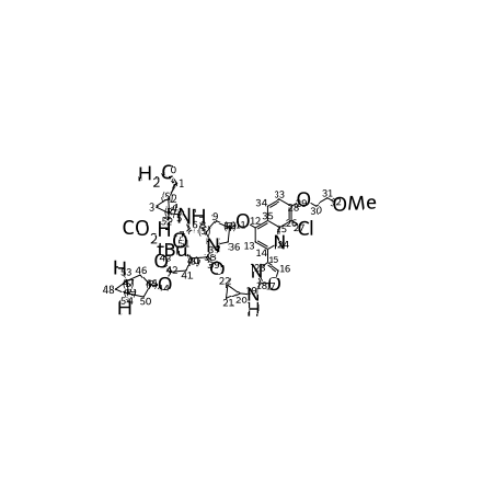 C=C[C@@H]1C[C@]1(NC(=O)[C@@H]1C[C@@H](Oc2cc(-c3coc(NC4CC4)n3)nc3c(Cl)c(OCCOC)ccc23)CN1C(=O)[C@@H](CC(=O)O[C@@H]1C[C@@H]2C[C@@H]2C1)C(C)(C)C)C(=O)O